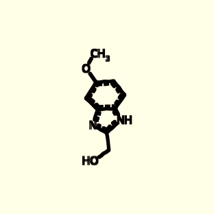 COc1ccc2[nH]c(CO)nc2c1